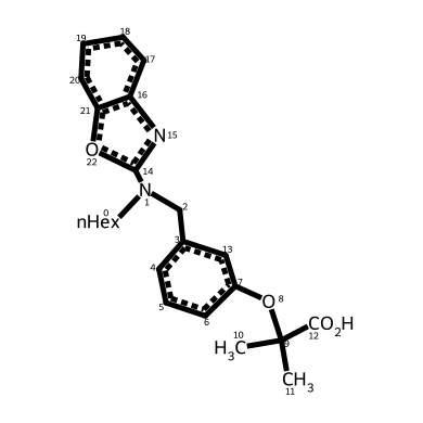 CCCCCCN(Cc1cccc(OC(C)(C)C(=O)O)c1)c1nc2ccccc2o1